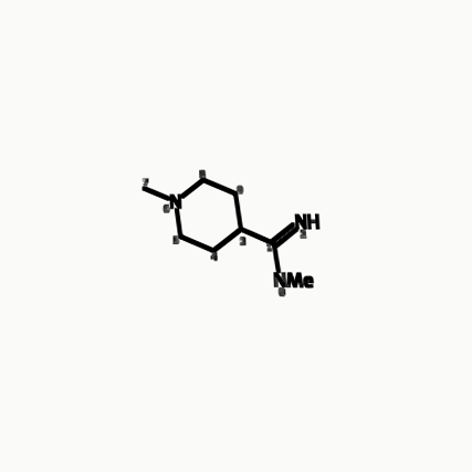 CNC(=N)C1CCN(C)CC1